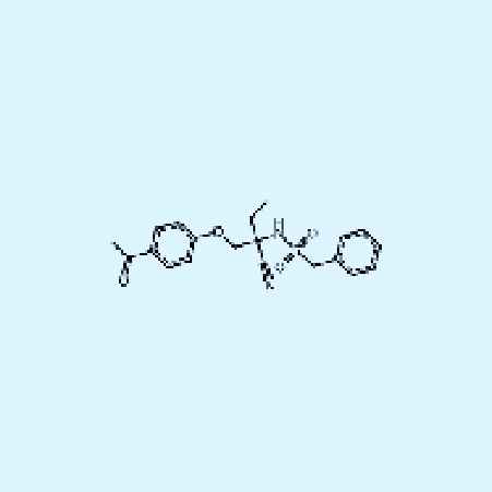 CCC(C#N)(COc1ccc(C(C)=O)cc1)NS(=O)(=O)Cc1ccccc1